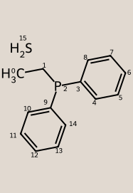 CCP(c1ccccc1)c1ccccc1.S